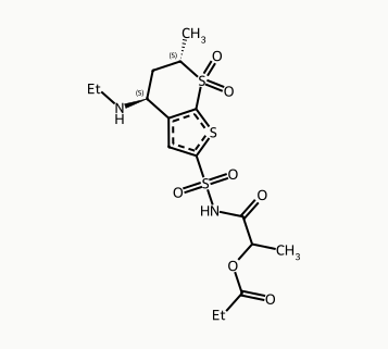 CCN[C@H]1C[C@H](C)S(=O)(=O)c2sc(S(=O)(=O)NC(=O)C(C)OC(=O)CC)cc21